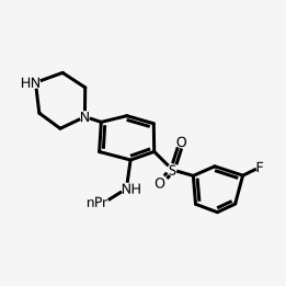 CCCNc1cc(N2CCNCC2)ccc1S(=O)(=O)c1cccc(F)c1